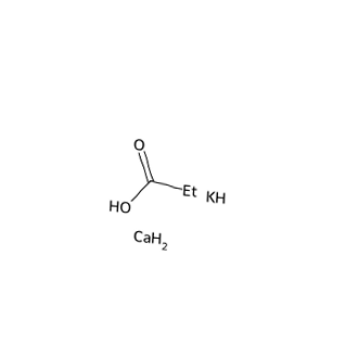 CCC(=O)O.[CaH2].[KH]